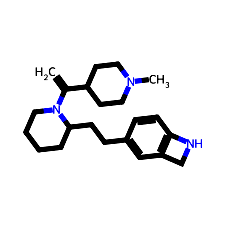 C=C(C1CCN(C)CC1)N1CCCCC1CCc1ccc2c(c1)CN2